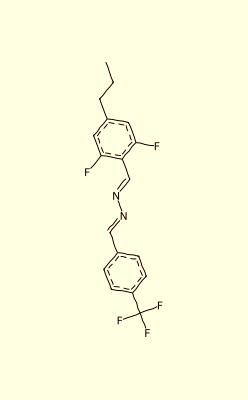 CCCc1cc(F)c(C=NN=Cc2ccc(C(F)(F)F)cc2)c(F)c1